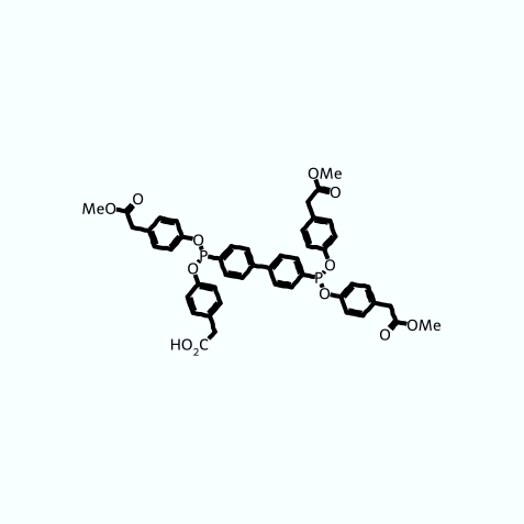 COC(=O)Cc1ccc(OP(Oc2ccc(CC(=O)O)cc2)c2ccc(-c3ccc(P(Oc4ccc(CC(=O)OC)cc4)Oc4ccc(CC(=O)OC)cc4)cc3)cc2)cc1